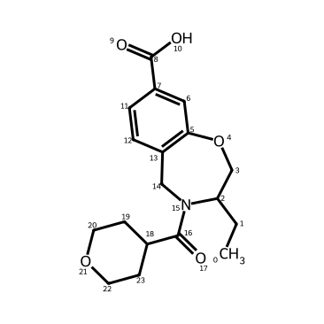 CCC1COc2cc(C(=O)O)ccc2CN1C(=O)C1CCOCC1